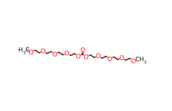 COCCOCCOCCOCCOC(=O)OCCOCCOCCOCCOC